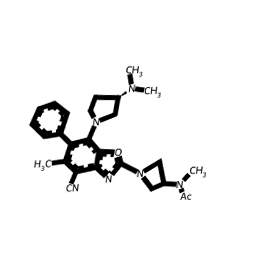 CC(=O)N(C)C1CN(c2nc3c(C#N)c(C)c(-c4ccccc4)c(N4CC[C@H](N(C)C)C4)c3o2)C1